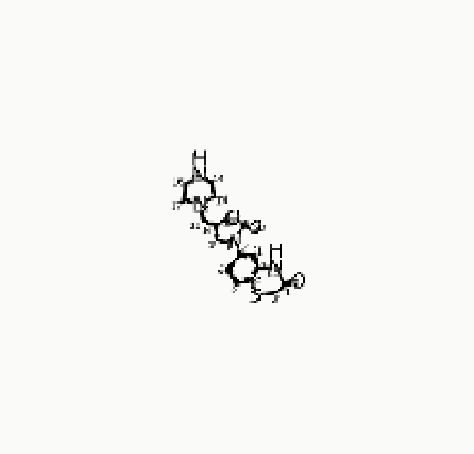 O=C1CSc2ccc(N3CC(CN4CCNCC4)OC3=O)cc2N1